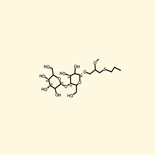 CCCSCC(CO[C@@H]1OC(CO)[C@@H](O[C@@H]2OC(CO)[C@H](O)[C@H](O)C2O)[C@@H](O)C1O)OC